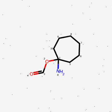 NC1(OC=O)CCCCCC1